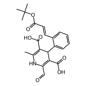 CC1=C(C(=O)O)C(c2ccccc2/C=C/C(=O)OC(C)(C)C)C(C(=O)O)=C(C=O)N1